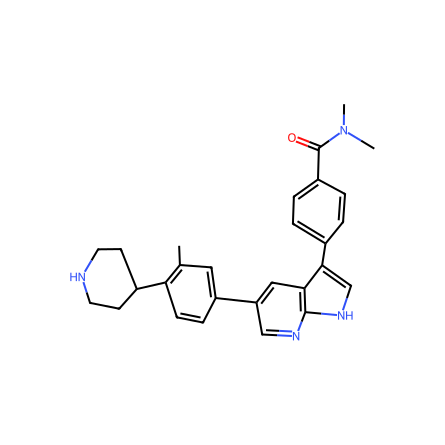 Cc1cc(-c2cnc3[nH]cc(-c4ccc(C(=O)N(C)C)cc4)c3c2)ccc1C1CCNCC1